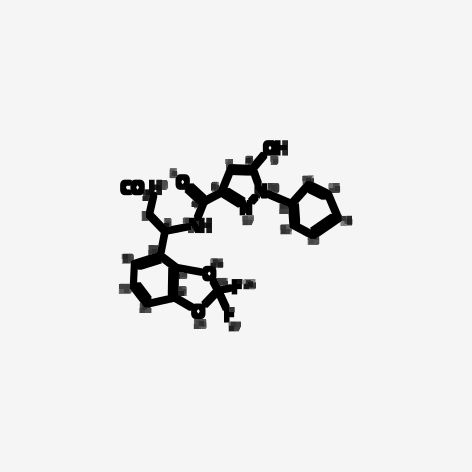 O=C(O)CC(NC(=O)c1cc(O)n(-c2ccccc2)n1)c1cccc2c1OC(F)(F)O2